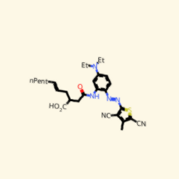 CCCCC/C=C/CC(CC(=O)Nc1cc(N(CC)CC)ccc1/N=N/c1sc(C#N)c(C)c1C#N)C(=O)O